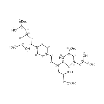 CCCCCCCCCCCC(O)CN(CCN1CCN(CCN(CC(O)CCCCCCCCCC)CC(O)CCCCCCCCCC)CC1)CCN(CC(O)CCCCCCCCCC)CC(O)CCCCCCCCCC